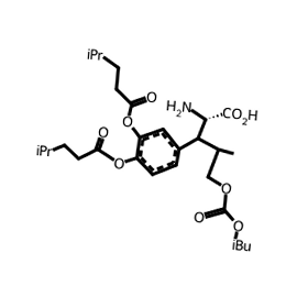 CCC(C)OC(=O)OCC(C)C(c1ccc(OC(=O)CCC(C)C)c(OC(=O)CCC(C)C)c1)[C@H](N)C(=O)O